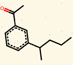 CCCC(C)c1cccc(C(C)=O)c1